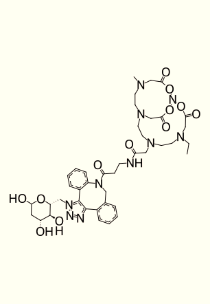 CCN1CCN(CC(=O)NCCC(=O)N2Cc3ccccc3-c3nnn(C[C@H]4OC(O)C[C@@H](O)[C@@H]4O)c3-c3ccccc32)CCN2CCN(C)CC(=O)O[N@](OC(=O)C1)OC(=O)C2